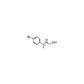 C[C@H](NCO)c1ccc(Br)cc1